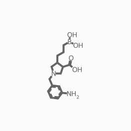 Nc1cccc(CN2CC(CCCB(O)O)C(C(=O)O)C2)c1